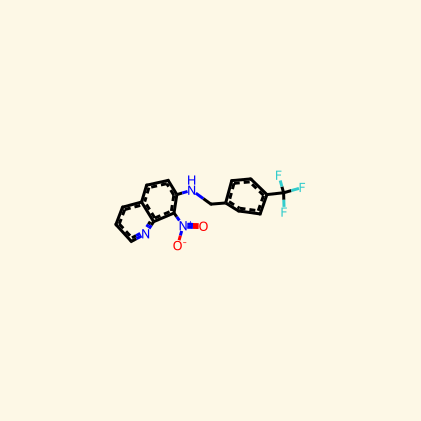 O=[N+]([O-])c1c(NCc2ccc(C(F)(F)F)cc2)ccc2cccnc12